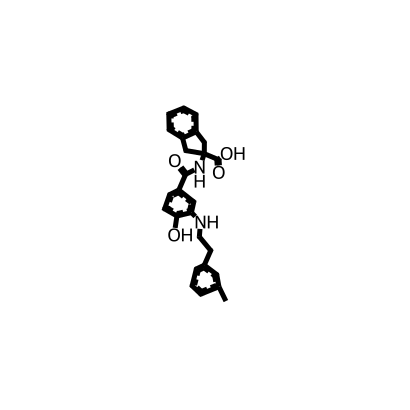 Cc1cccc(CCNc2cc(C(=O)NC3(C(=O)O)Cc4ccccc4C3)ccc2O)c1